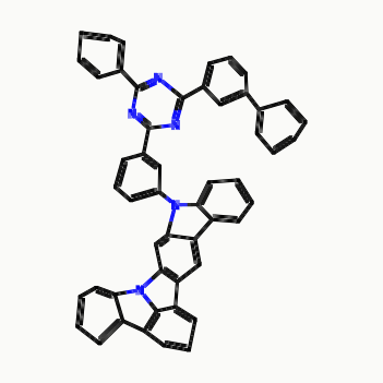 c1ccc(-c2cccc(-c3nc(-c4ccccc4)nc(-c4cccc(-n5c6ccccc6c6cc7c8cccc9c%10ccccc%10n(c7cc65)c98)c4)n3)c2)cc1